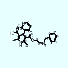 CC1=C(C(=O)O)C(c2cccnc2Br)C(C(=O)OCCN(C)Cc2ccccc2)=C(C)N1